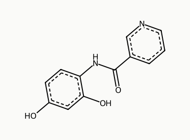 O=C(Nc1ccc(O)cc1O)c1cccnc1